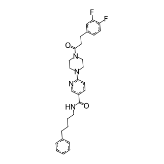 O=C(NCCCCc1ccccc1)c1ccc(N2CCN(C(=O)CCc3ccc(F)c(F)c3)CC2)nc1